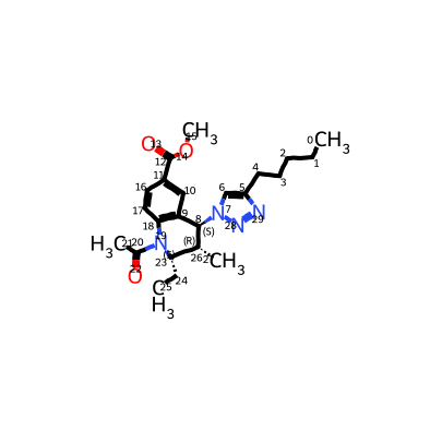 CCCCCc1cn([C@@H]2c3cc(C(=O)OC)ccc3N(C(C)=O)[C@@H](CC)[C@H]2C)nn1